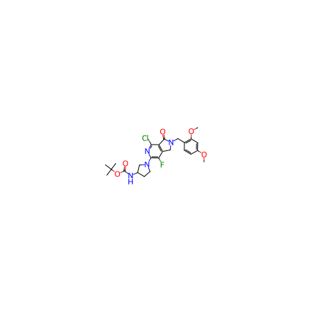 COc1ccc(CN2Cc3c(F)c(N4CCC(NC(=O)OC(C)(C)C)C4)nc(Cl)c3C2=O)c(OC)c1